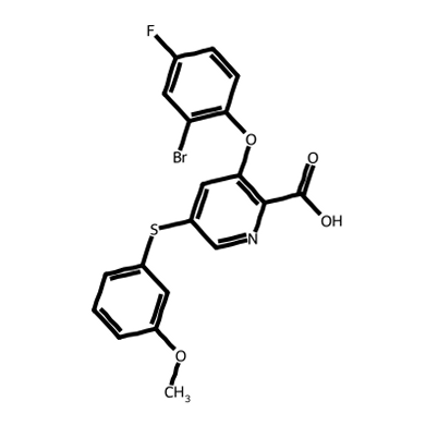 COc1cccc(Sc2cnc(C(=O)O)c(Oc3ccc(F)cc3Br)c2)c1